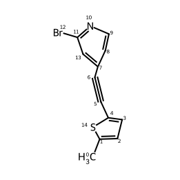 Cc1ccc(C#Cc2ccnc(Br)c2)s1